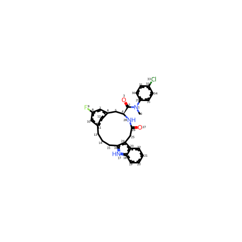 CN(C(=O)[C@@H]1Cc2cc(F)cc(c2)CCCc2[nH]c3ccccc3c2CC(=O)N1)c1ccc(Cl)cc1